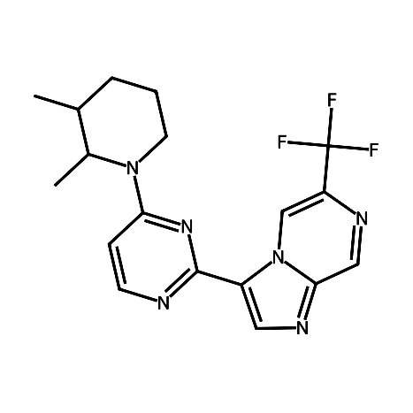 CC1CCCN(c2ccnc(-c3cnc4cnc(C(F)(F)F)cn34)n2)C1C